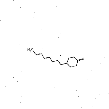 CCCCCCCCC1CCC(=O)CC1